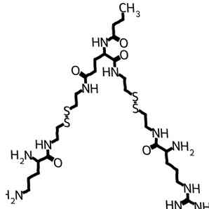 CCCC(=O)NC(CCC(=O)NCCSSCCNC(=O)C(N)CCCN)C(=O)NCCSSCCNC(=O)C(N)CCCNC(=N)N